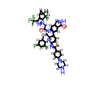 O=C(Cn1nc(C(F)(F)F)c2c1C(F)(F)[C@@H]1CC21)N[C@@H](Cc1cc(F)cc(F)c1)c1nc2nc(-c3ccc(N4CCNCC4)cc3)sc2cc1-c1ccc2c(c1)C(=O)NC2